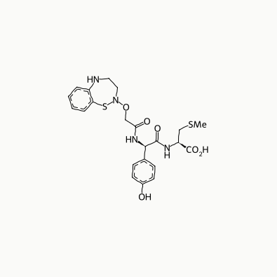 CSC[C@H](NC(=O)[C@H](NC(=O)CON1CCNc2ccccc2S1)c1ccc(O)cc1)C(=O)O